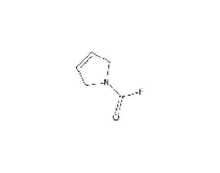 O=C(F)N1CC=CC1